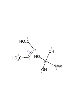 CNC(O)(O)O.O=C(O)/C=C\C(=O)O